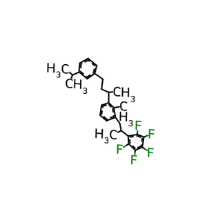 Cc1c(CC(C)c2c(F)c(F)c(F)c(F)c2F)cccc1C(C)CCc1cccc(C(C)C)c1